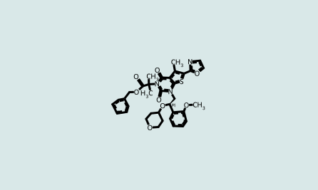 COc1ccccc1[C@H](Cn1c(=O)n(C(C)(C)C(=O)OCc2ccccc2)c(=O)c2c(C)c(-c3ncco3)sc21)OC1CCOCC1